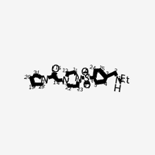 CCNCc1ccc(S(=O)(=O)N2CCN(CC(=O)N3CCCC3)CC2)cc1